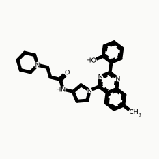 Cc1ccc2c(N3CCC(NC(=O)CCN4CCCCC4)C3)nc(-c3ccccc3O)nc2c1